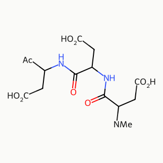 CNC(CC(=O)O)C(=O)NC(CC(=O)O)C(=O)NC(CC(=O)O)C(C)=O